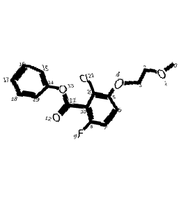 COCCOc1ccc(F)c(C(=O)Oc2ccccc2)c1Cl